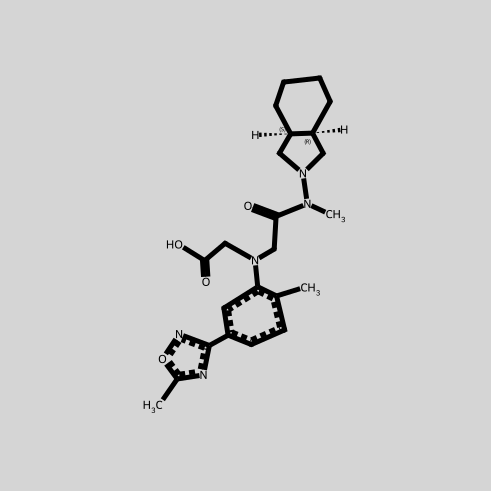 Cc1nc(-c2ccc(C)c(N(CC(=O)O)CC(=O)N(C)N3C[C@H]4CCCC[C@H]4C3)c2)no1